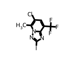 Cc1c(Cl)cc(C(F)(F)F)c2nc(I)nn12